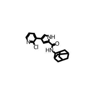 O=C(NC1C2CC3CC(C2)CC1C3)c1cc(-c2cccnc2Cl)c[nH]1